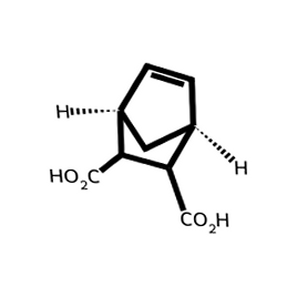 O=C(O)C1C(C(=O)O)[C@H]2C=C[C@@H]1C2